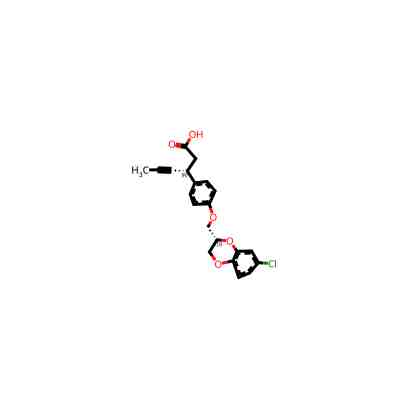 CC#C[C@H](CC(=O)O)c1ccc(OC[C@H]2COc3ccc(Cl)cc3O2)cc1